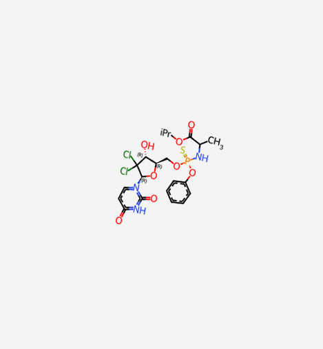 CC(C)OC(=O)C(C)NP(=S)(OC[C@H]1O[C@@H](n2ccc(=O)[nH]c2=O)C(Cl)(Cl)[C@@H]1O)Oc1ccccc1